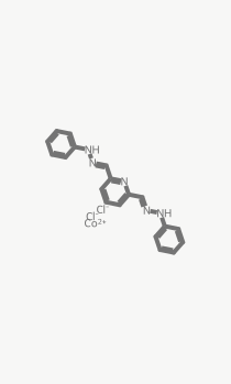 C(=NNc1ccccc1)c1cccc(C=NNc2ccccc2)n1.[Cl-].[Cl-].[Co+2]